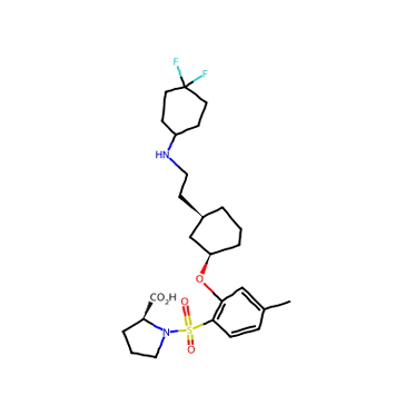 Cc1ccc(S(=O)(=O)N2CCC[C@H]2C(=O)O)c(O[C@@H]2CCC[C@H](CCNC3CCC(F)(F)CC3)C2)c1